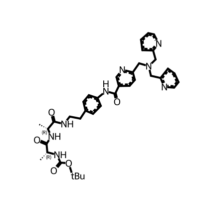 C[C@@H](NC(=O)OC(C)(C)C)C(=O)N[C@H](C)C(=O)NCCc1ccc(NC(=O)c2ccc(CN(Cc3ccccn3)Cc3ccccn3)nc2)cc1